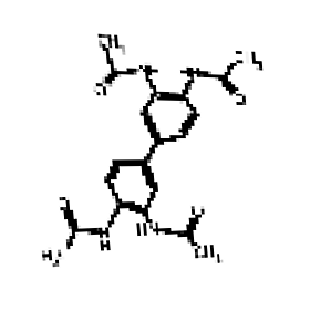 CC(=O)Nc1ccc(-c2ccc(NC(C)=O)c(NC(C)=O)c2)cc1NC(C)=O